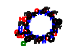 CCCCN1CC(=O)N(C)[C@H](CC(C)C)C(=O)N[C@H](CC(C)C)C(=O)N(C)[C@@H](Cc2ccccc2)C(=O)N(C)[C@@H](C(C)C)C(=O)N[C@H](C(=O)N2CCCCC2)CC(=O)N[C@H](CC(C)C)C(=O)N(C)[C@@H](Cc2cccc(Cl)c2)C(=O)N[C@@H](CCC(=O)NS(C)(=O)=O)C(=O)N(C)C(CC(C)C)C(=O)/N=C(/[C@@H](C)O)C1=O